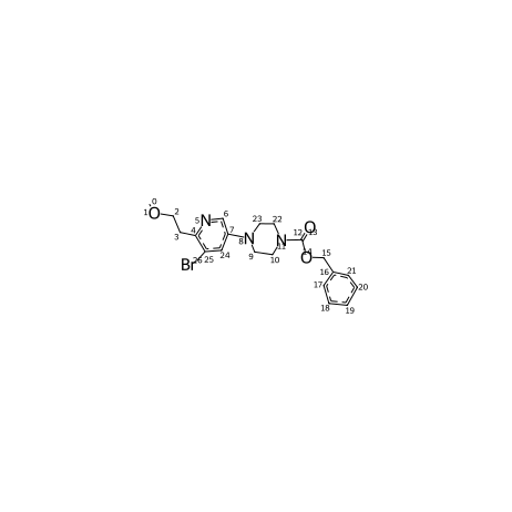 COCCc1ncc(N2CCN(C(=O)OCc3ccccc3)CC2)cc1Br